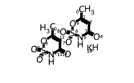 CC1=CC(=O)NS(=O)(=O)O1.CC1=CC(=O)NS(=O)(=O)O1.[KH]